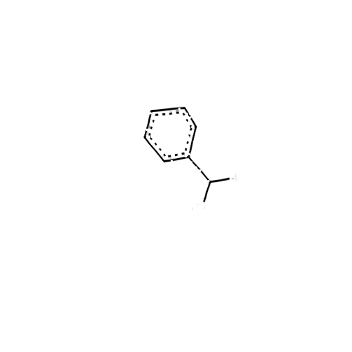 CCCCC(c1ccccc1)C(C)C